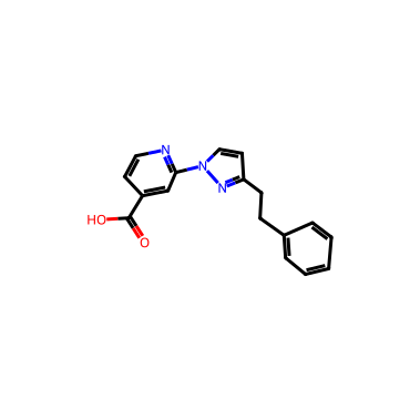 O=C(O)c1ccnc(-n2ccc(CCc3ccccc3)n2)c1